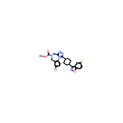 CC(C)(C)OC(=O)N1Cc2cc(Cl)ccc2-n2c(nnc2C2CCC(c3noc4ccc(F)cc34)CC2)C1